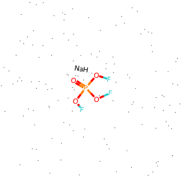 O=P(OF)(OF)OF.[NaH]